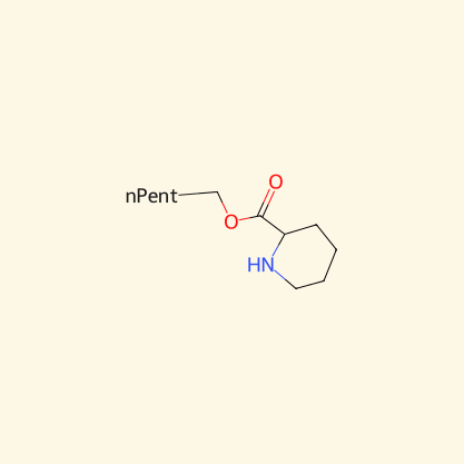 CCCCCCOC(=O)C1CCCCN1